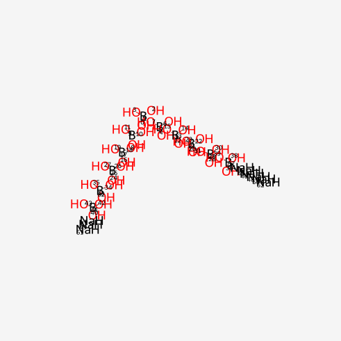 OB(O)O.OB(O)O.OB(O)O.OB(O)O.OB(O)O.OB(O)O.OB(O)O.OB(O)O.OB(O)O.OB(O)O.OB(O)O.[NaH].[NaH].[NaH].[NaH].[NaH].[NaH].[NaH].[NaH].[NaH]